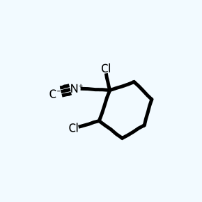 [C-]#[N+]C1(Cl)CCCCC1Cl